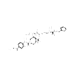 CCCCOC(=O)c1ccc(NC(=O)N2CCC3(CC2)C(=O)N[C@@H](CCCCNC(=O)OCc2ccccc2)C(=O)N3CCC)cc1